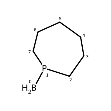 BP1CCCCCC1